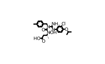 Cc1ccc(CN(C(=O)N(O)[C@H](C)CC(=O)O)/C(N)=N/c2ccc(OC(C)C)c(Cl)c2)cc1